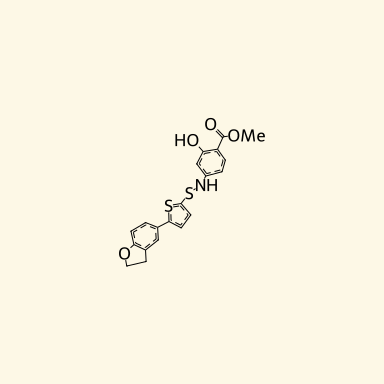 COC(=O)c1ccc(NSc2ccc(-c3ccc4c(c3)CCO4)s2)cc1O